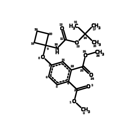 COC(=O)c1ccc(OC2(NC(=O)OC(C)(C)C)CCC2)cc1C(=O)OC